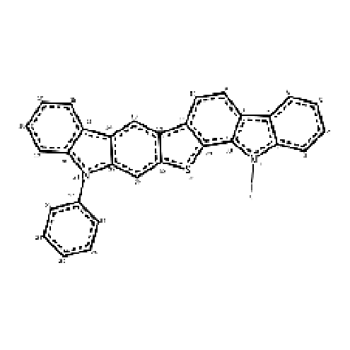 In1c2ccccc2c2ccc3c4cc5c6ccccc6n(-c6ccccc6)c5cc4sc3c21